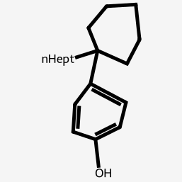 CCCCCCCC1(c2ccc(O)cc2)CCCCC1